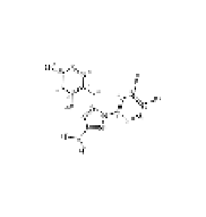 Fc1ccc(-n2nc(C(F)F)cc2Cc2ncc(Cl)cc2F)cc1F